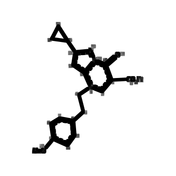 CCOC(=O)c1cn(CCc2ccc(OC)cc2)c2cc(C3CC3)nn2c1=O